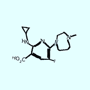 CN1CCN(c2nc(NC3CC3)c(C(=O)O)cc2F)CC1